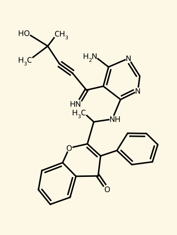 CC(Nc1ncnc(N)c1C(=N)C#CC(C)(C)O)c1oc2ccccc2c(=O)c1-c1ccccc1